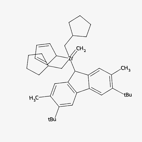 [CH2]=[Zr]([CH2]C1CCCC1)([CH2]C1CCCC1)([CH]1C=CC=C1)[CH]1c2cc(C)c(C(C)(C)C)cc2-c2cc(C(C)(C)C)c(C)cc21